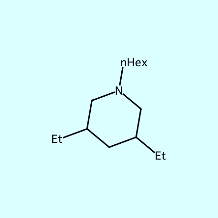 CCCCCCN1CC(CC)CC(CC)C1